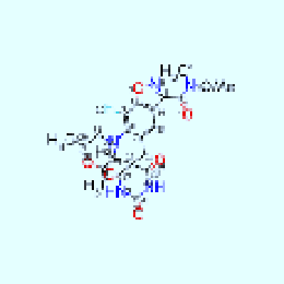 CON(C)C(=O)c1noc2c(F)c3c(cc12)CC1(C(=O)NC(=O)NC1=O)[C@@H]1[C@@H](C)O[C@@H](C)CN31